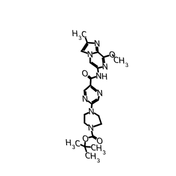 COc1nc(NC(=O)c2cnc(N3CCN(C(=O)OC(C)(C)C)CC3)cn2)cn2cc(C)nc12